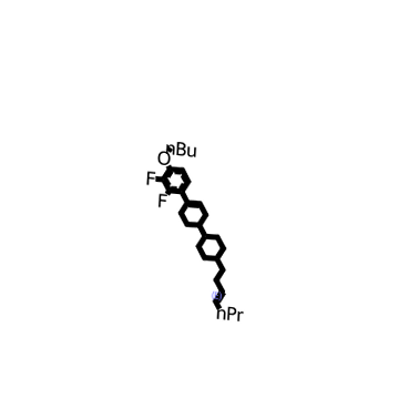 CCC/C=C/CCC1CCC(C2CC=C(c3ccc(OCCCC)c(F)c3F)CC2)CC1